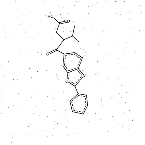 CC(C)C(CC(=O)O)C(=O)c1ccc2nc(-c3ccccc3)oc2c1